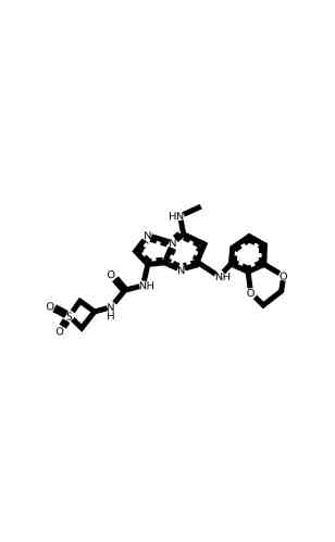 CNc1cc(Nc2cccc3c2OCCO3)nc2c(NC(=O)NC3CS(=O)(=O)C3)cnn12